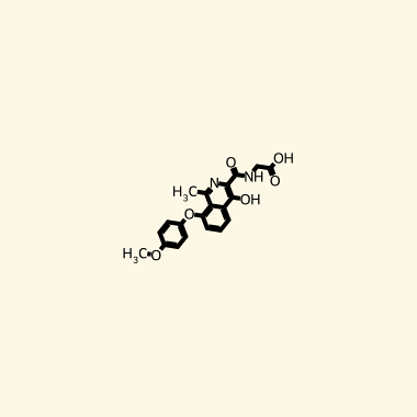 COc1ccc(Oc2cccc3c(O)c(C(=O)NCC(=O)O)nc(C)c23)cc1